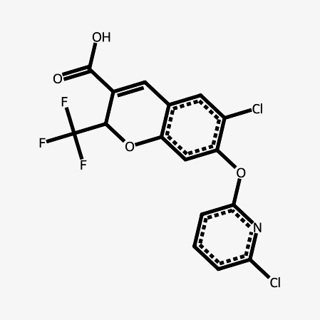 O=C(O)C1=Cc2cc(Cl)c(Oc3cccc(Cl)n3)cc2OC1C(F)(F)F